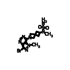 CN(C1CC2(C1)CN(c1ncnc3c(Br)nn(C)c13)C2)S(N)(=O)=O